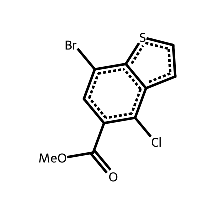 COC(=O)c1cc(Br)c2sccc2c1Cl